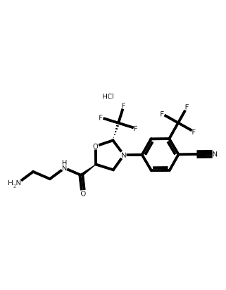 Cl.N#Cc1ccc(N2C[C@@H](C(=O)NCCN)O[C@@H]2C(F)(F)F)cc1C(F)(F)F